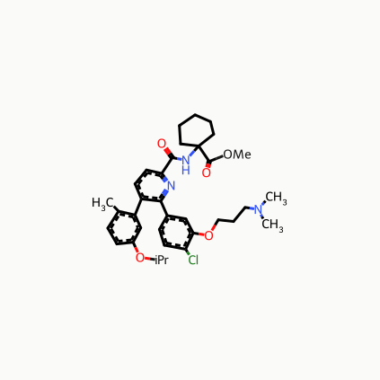 COC(=O)C1(NC(=O)c2ccc(-c3cc(OC(C)C)ccc3C)c(-c3ccc(Cl)c(OCCCN(C)C)c3)n2)CCCCC1